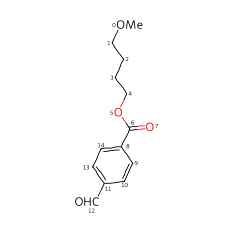 COCCCCOC(=O)c1ccc(C=O)cc1